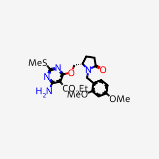 CCOC(=O)c1c(N)nc(SC)nc1OC[C@@H]1CCC(=O)N1Cc1ccc(OC)cc1OC